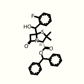 CC1(C)SC2(C(O)c3ccccc3F)CC(=O)N2[C@H]1C(=O)OC(c1ccccc1)c1ccccc1